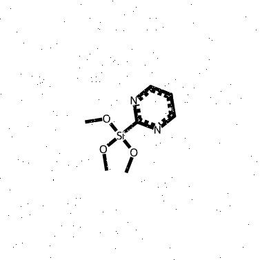 CO[Si](OC)(OC)c1ncccn1